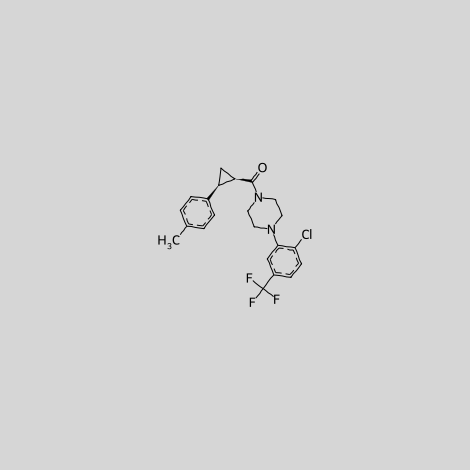 Cc1ccc([C@H]2C[C@H]2C(=O)N2CCN(c3cc(C(F)(F)F)ccc3Cl)CC2)cc1